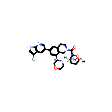 O=C(N1CCc2cc(-c3cnc4[nH]cc(Cl)c4c3)cc([C@@H]3COCCN3)c2C1)N1C[C@@H]2CC[C@H]1CO2